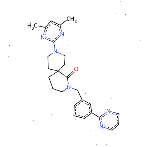 Cc1cc(C)nc(N2CCC3(CCCN(Cc4cccc(-c5ncccn5)c4)C3=O)CC2)n1